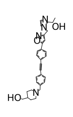 CC(O)c1nccn1Cc1cc(-c2ccc(C#Cc3ccc(CN4CCC(CO)CC4)cc3)cc2)on1